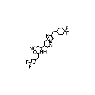 N#CC[C@H](NC(=O)CC1CC(F)(F)C1)c1cnn2cc(CC3CCC(F)(F)CC3)nc2c1